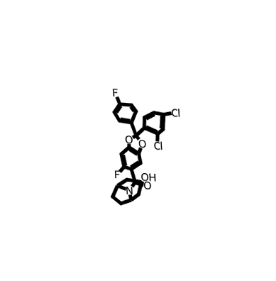 O=C(c1cc2c(cc1F)OC(c1ccc(F)cc1)(c1ccc(Cl)cc1Cl)O2)N1C2CCC1CC(O)C2